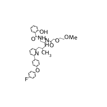 COCCOCC(=O)NC(CNC(=O)c1ccccc1O)CC(C)Cc1cccc(-c2ccc(Oc3ccc(F)cc3)cc2)n1